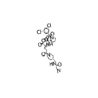 CN(C)CC(=O)NCC1CCN(C(=O)CC[C@H](NC(=O)[C@H]2CCCN2S(=O)(=O)c2cc(Cl)cc(Cl)c2)C(=O)O)CC1